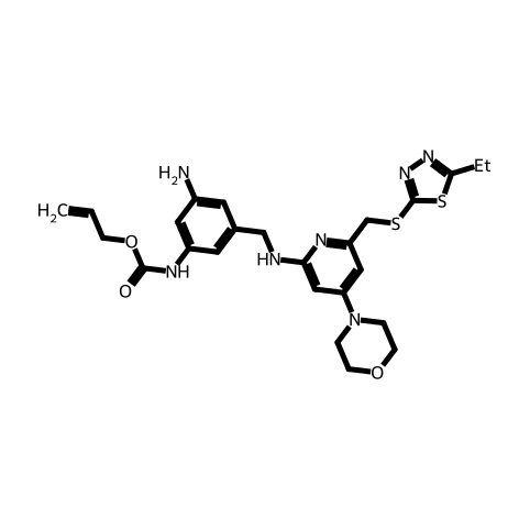 C=CCOC(=O)Nc1cc(N)cc(CNc2cc(N3CCOCC3)cc(CSc3nnc(CC)s3)n2)c1